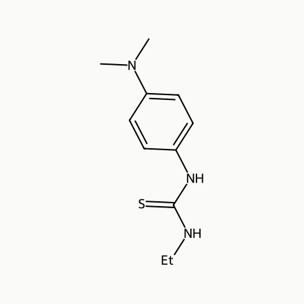 CCNC(=S)Nc1ccc(N(C)C)cc1